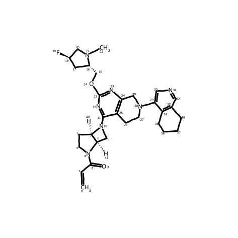 C=CC(=O)N1CC[C@@H]2[C@H]1CN2c1nc(OC[C@@H]2C[C@@H](F)CN2C)nc2c1CCN(c1cncc3c1CCCC3)C2